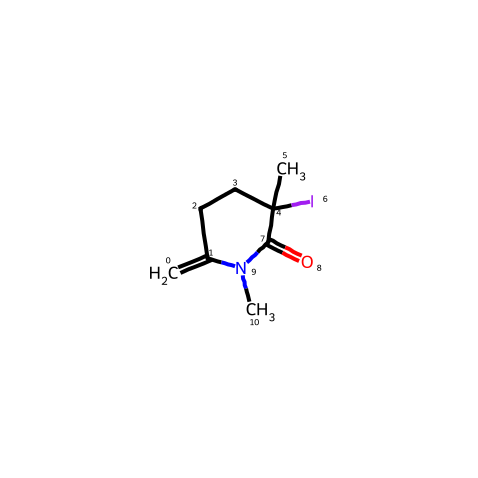 C=C1CCC(C)(I)C(=O)N1C